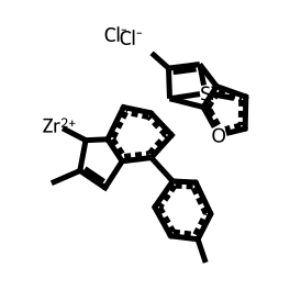 CC1=C2c3ccoc3C1[Si]2(C)C.CC1=Cc2c(-c3ccc(C)cc3)cccc2[CH]1[Zr+2].[Cl-].[Cl-]